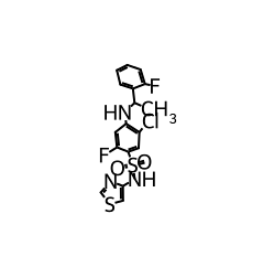 CC(Nc1cc(F)c(S(=O)(=O)Nc2cscn2)cc1Cl)c1ccccc1F